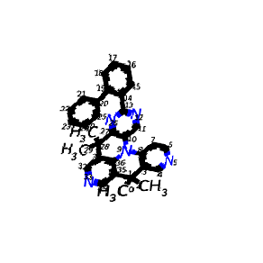 CC1(C)c2cnccc2N2c3cnc(-c4ccccc4-c4ccccc4)nc3C(C)(C)c3cncc1c32